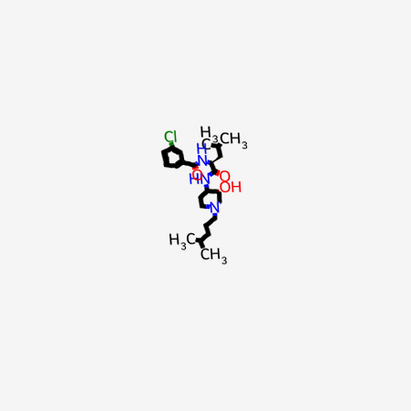 CC(C)CCCN1CCC(NC(=O)[C@H](CC(C)C)NC(=O)c2cccc(Cl)c2)C(O)C1